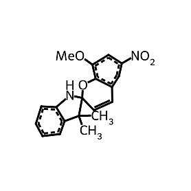 COc1cc([N+](=O)[O-])cc2c1OC1(C=C2)Nc2ccccc2C1(C)C